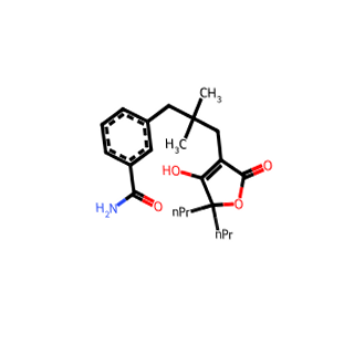 CCCC1(CCC)OC(=O)C(CC(C)(C)Cc2cccc(C(N)=O)c2)=C1O